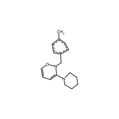 Cc1ccc(CN2OC=CC=C2N2CCCCC2)cc1